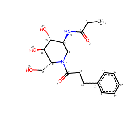 CCC(=O)N[C@H]1CN(C(=O)CCc2ccccc2)[C@H](CO)[C@@H](O)[C@@H]1O